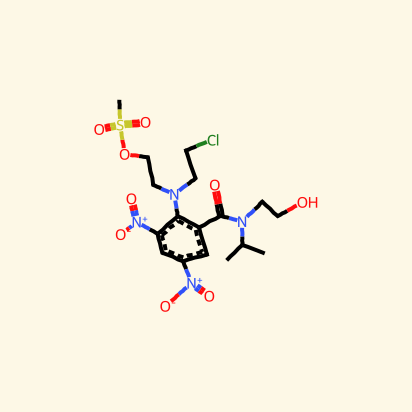 CC(C)N(CCO)C(=O)c1cc([N+](=O)[O-])cc([N+](=O)[O-])c1N(CCCl)CCOS(C)(=O)=O